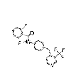 O=C(Nc1ccc(Cc2ccncc2C(F)(F)F)cc1)c1c(F)cccc1F